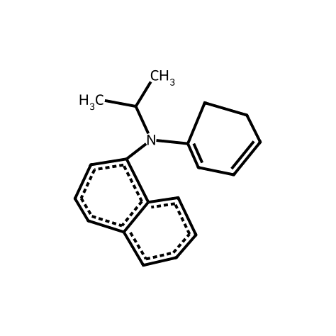 CC(C)N(C1=CC=CCC1)c1cccc2ccccc12